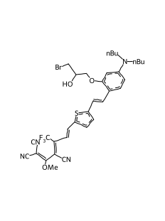 CCCCN(CCCC)c1ccc(/C=C/c2ccc(/C=C/C(=C(\C#N)C(OC)=C(C#N)C#N)C(F)(F)F)s2)c(OCC(O)CBr)c1